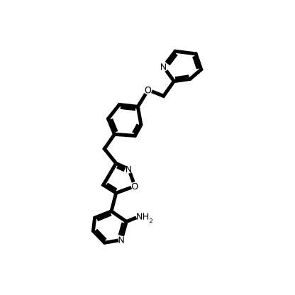 Nc1ncccc1-c1cc(Cc2ccc(OCc3ccccn3)cc2)no1